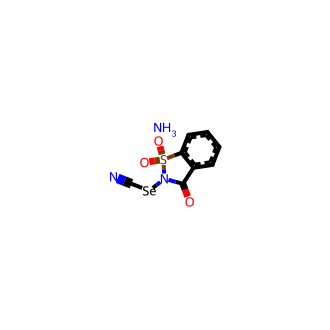 N.N#C[Se]N1C(=O)c2ccccc2S1(=O)=O